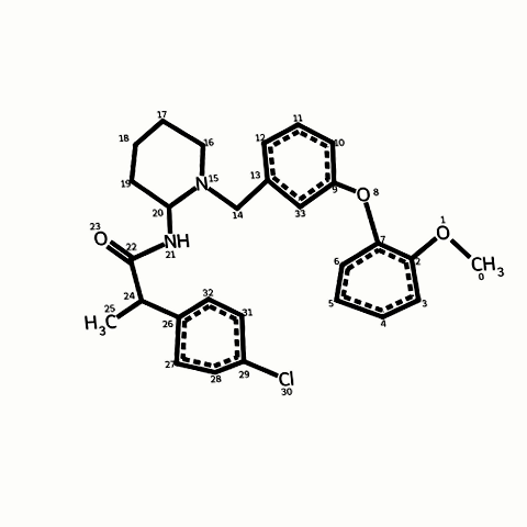 COc1ccccc1Oc1cccc(CN2CCCCC2NC(=O)C(C)c2ccc(Cl)cc2)c1